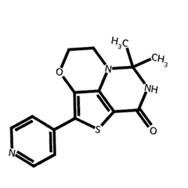 CC1(C)NC(=O)c2sc(-c3ccncc3)c3c2N1CCO3